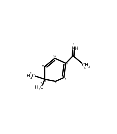 CC(=N)C1=CCC(C)(C)C=C1